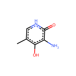 Cc1c[nH]c(=O)c(N)c1O